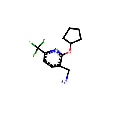 NCc1ccc(C(F)(F)F)nc1OC1CCCC1